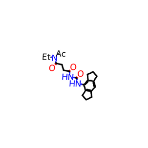 CCN(C(C)=O)C(=O)CCC(=O)NC(=O)Nc1c2c(cc3c1CCC3)CCC2